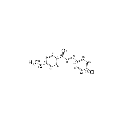 CSc1ccc(C(=O)C=Cc2ccc(Cl)cc2)cc1